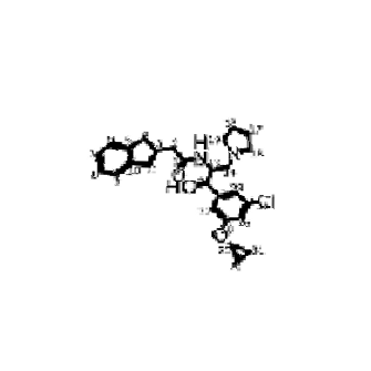 O=C(CC1Cc2ccccc2C1)NC(CN1CCCC1)C(O)c1cc(Cl)cc(OC2CC2)c1